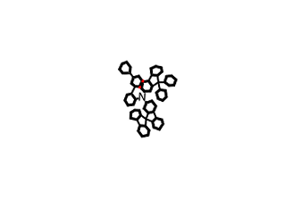 c1ccc(-c2cccc(-c3ccccc3N(c3ccc4c(c3)C(c3ccccc3)(c3ccccc3)c3ccccc3-4)c3ccc4c(c3)C3(c5ccccc5-c5ccccc53)c3ccccc3-4)c2)cc1